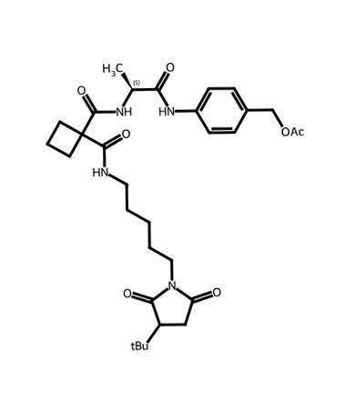 CC(=O)OCc1ccc(NC(=O)[C@H](C)NC(=O)C2(C(=O)NCCCCCN3C(=O)CC(C(C)(C)C)C3=O)CCC2)cc1